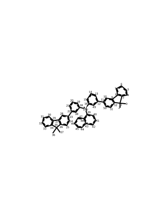 CC1(C)c2ccccc2-c2cc(-c3cccc(N(c4cccc(-c5ccc6c(c5)-c5ccccc5C6(C)C)c4)c4cccc5ccccc45)c3)ccc21